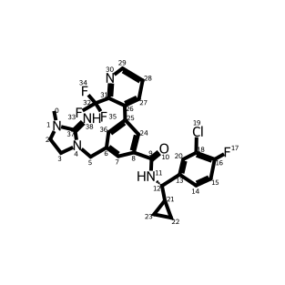 CN1CCN(Cc2cc(C(=O)N[C@H](c3ccc(F)c(Cl)c3)C3CC3)cc(-c3cccnc3C(F)(F)F)c2)C1=N